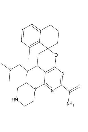 Cc1cccc2c1C1(CCC2)CC(C(C)CN(C)C)c2c(nc(C(N)=O)nc2N2CCNCC2)O1